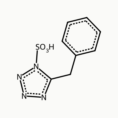 O=S(=O)(O)n1nnnc1Cc1ccccc1